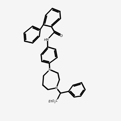 CCOC(=O)C(c1ccccc1)N1CCCN(c2ccc(NC(=O)c3ccccc3-c3ccccc3)cc2)CC1